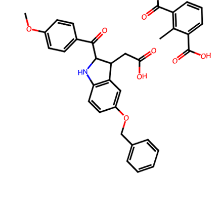 COc1ccc(C(=O)C2Nc3ccc(OCc4ccccc4)cc3C2CC(=O)O)cc1.Cc1c(C(=O)O)cccc1C(=O)O